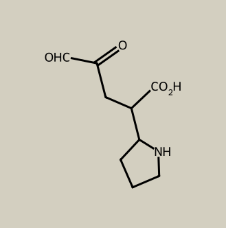 O=CC(=O)CC(C(=O)O)C1CCCN1